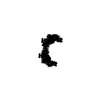 CCc1cccc(C(=O)N2CCC[C@H]2C(=O)Nc2ccc(/C=C/c3ccc(NC(=O)[C@@H]4CCCN4C(=O)c4cc(CC)ccn4)cc3)cc2)c1